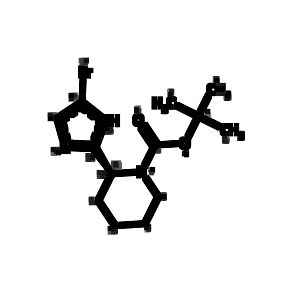 CC(C)(C)OC(=O)N1CCCC[C@H]1c1ncc(Br)[nH]1